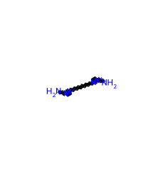 NCCCn1cc[n+](CCCCCCCCCCCCn2cc[n+](CCCN)c2)c1